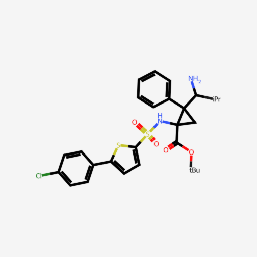 CC(C)C(N)C1(c2ccccc2)CC1(NS(=O)(=O)c1ccc(-c2ccc(Cl)cc2)s1)C(=O)OC(C)(C)C